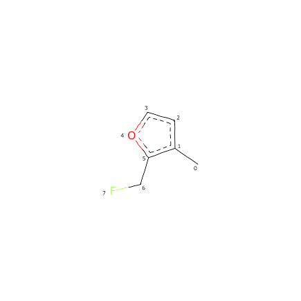 Cc1ccoc1CF